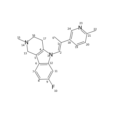 C/C(=C\n1c2c(c3ccc(F)cc31)CN(C)CC2)c1ccc(C)nc1